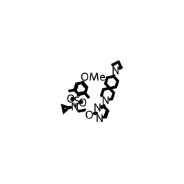 COc1cc(C)c(S(=O)(=O)N(CCOc2nccc(N3CCC4(CCC(N5CCC5)CC4)CC3)n2)C2CC2)c(C)c1